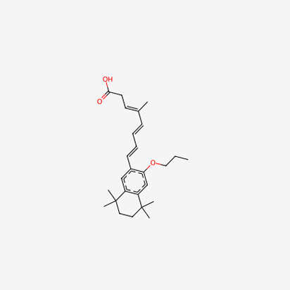 CCCOc1cc2c(cc1C=CC=CC(C)=CCC(=O)O)C(C)(C)CCC2(C)C